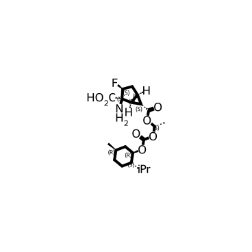 CC(C)[C@@H]1CC[C@@H](C)C[C@H]1OC(=O)O[C@@H](C)OC(=O)[C@H]1[C@@H]2C[C@H](F)[C@@](N)(C(=O)O)[C@@H]21